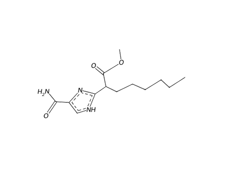 CCCCCCC(C(=O)OC)c1nc(C(N)=O)c[nH]1